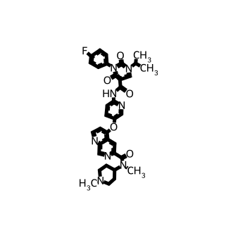 CC(C)n1cc(C(=O)Nc2ccc(Oc3ccnc4cnc(C(=O)N(C)C5CCN(C)CC5)cc34)cn2)c(=O)n(-c2ccc(F)cc2)c1=O